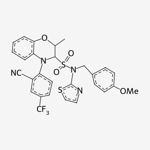 COc1ccc(CN(c2nccs2)S(=O)(=O)C2C(C)Oc3ccccc3N2c2ccc(C(F)(F)F)cc2C#N)cc1